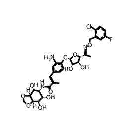 CC(=Cc1ccc(O[C@@H]2O[C@H](C(C)=NOCc3cc(F)ccc3Cl)[C@@H](O)[C@@H]2O)c(N)c1)C(=O)N[C@@H]1[C@H](O)[C@@H](O)[C@H]2OCO[C@H]2[C@@H]1O